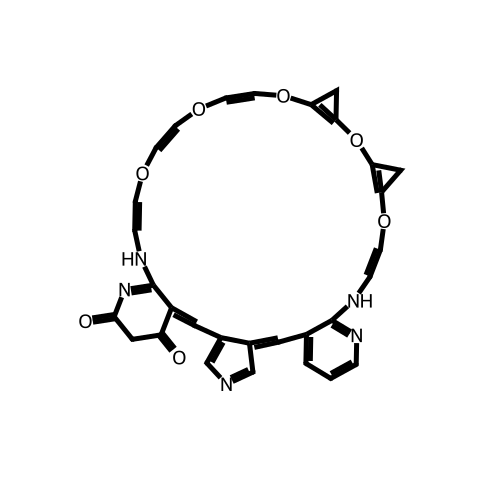 O=C1CC(=O)c2cc3c(cc4cccnc4[nH]ccoc4c(oc5c(occoccocc[nH]c2=N1)C5)C4)C=NC=3